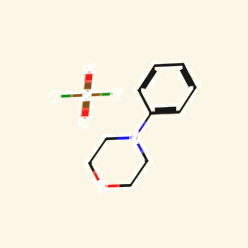 O=S(=O)(Cl)Cl.c1ccc(N2CCOCC2)cc1